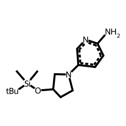 CC(C)(C)[Si](C)(C)OC1CCN(c2ccc(N)nc2)C1